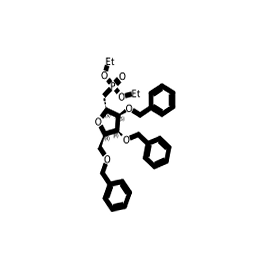 CCOP(=O)(C[C@H]1O[C@H](COCc2ccccc2)[C@@H](OCc2ccccc2)[C@@H]1OCc1ccccc1)OCC